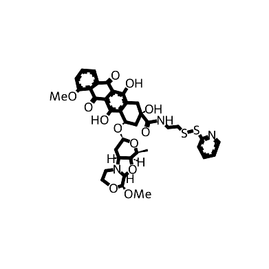 COc1cccc2c1C(=O)c1c(O)c3c(c(O)c1C2=O)C[C@@](O)(C(=O)NCCSSc1ccccn1)C[C@@H]3O[C@H]1C[C@H]2[C@H](O[C@@H]3[C@@H](OC)OCCN32)[C@H](C)O1